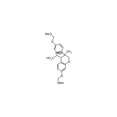 CCCCCCCCCC(C(=O)O)C1c2ccc(OCOC)cc2OCC1(C)c1ccc(OCOC)cc1